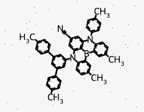 Cc1ccc(-c2cc(-c3ccc(C)cc3)cc(N3c4ccc(C)cc4B4c5cc(C)ccc5N(c5ccc(C)cc5)c5cc(C#N)cc3c54)c2)cc1